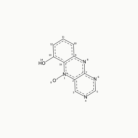 [O-][n+]1c2cncnc2nc2cccc(O)c21